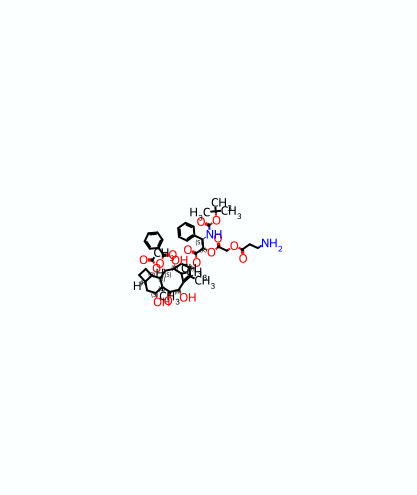 CC(=O)O[C@@]12CC[C@@H]1C[C@H](O)[C@@]1(C)C(=O)[C@H](O)C3=C(C)[C@@H](OC(=O)[C@H](OC(=O)COC(=O)CCN)[C@@H](NC(=O)OC(C)(C)C)c4ccccc4)C[C@](O)([C@@H](OC(=O)c4ccccc4)[C@H]21)C3(C)C